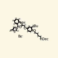 CCCCCCCCCCCCCCOc1ccc(OCC(=O)Nc2ccccc2C[n+]2csc(C)c2)cc1C(C)(C)C.[Br-]